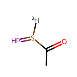 [2H]S(=P)C(C)=O